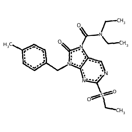 CCN(CC)C(=O)n1c(=O)n(Cc2ccc(C)cc2)c2nc(S(=O)(=O)CC)ncc21